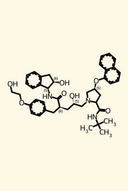 CC(C)(C)NC(=O)C1C[C@H](Oc2cccc3ccccc23)CN1C[C@@H](O)C[C@@H](Cc1ccc(OCCO)cc1)C(=O)N[C@H]1c2ccccc2C[C@H]1O